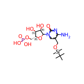 CC(C)(C)[Si](C)(C)OCc1cn(C2O[C@H](COP(=O)(O)O)[C@@H](O)[C@H]2O)c(=O)nc1N